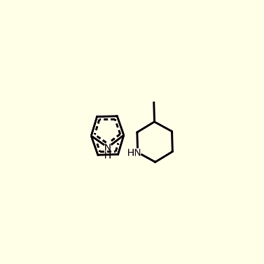 CC1CCCNC1.c1cc2ccc1[nH]2